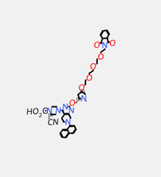 CN1C[C@H](OCCOCCOCCOCCN2C(=O)C3C=CC=CC3C2=O)C[C@H]1COc1nc2c(c(N3CCN(C(=O)O)[C@@H](CC#N)C3)n1)CCN(c1cccc3ccccc13)C2